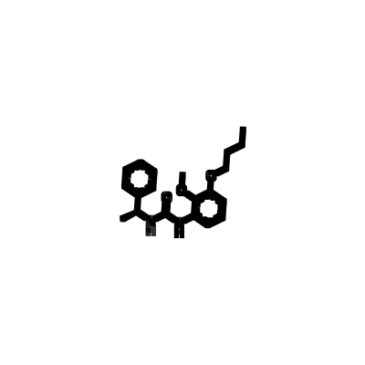 CCCCOc1cccc(NC(=O)N[C@@H](C)c2ccccc2)c1OC